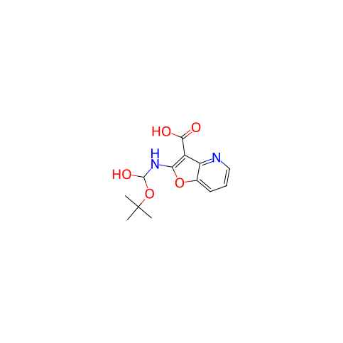 CC(C)(C)OC(O)Nc1oc2cccnc2c1C(=O)O